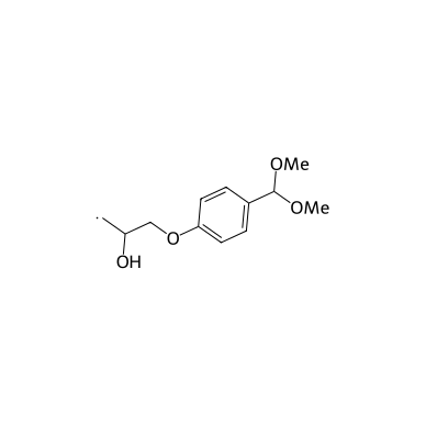 [CH2]C(O)COc1ccc(C(OC)OC)cc1